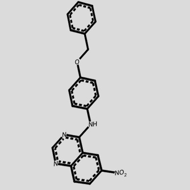 O=[N+]([O-])c1ccc2ncnc(Nc3ccc(OCc4ccccc4)cc3)c2c1